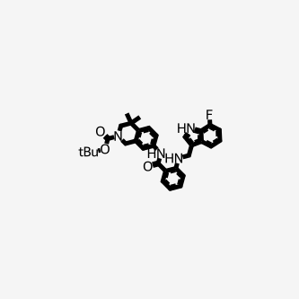 CC(C)(C)OC(=O)N1Cc2cc(NC(=O)c3ccccc3NCc3c[nH]c4c(F)cccc34)ccc2C(C)(C)C1